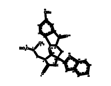 CCOC(=O)N(C)CN1C(=O)N[C@@](CN2Cc3ccc(OC)cc3C2=O)(c2cc3cnccc3o2)C1=O